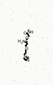 CNC(=O)COCC(N)CCOCCCn1ccnn1